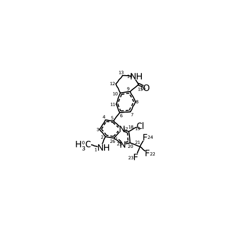 CNc1ccc(-c2ccc3c(c2)CCNC3=O)n2c(Cl)c(C(F)(F)F)nc12